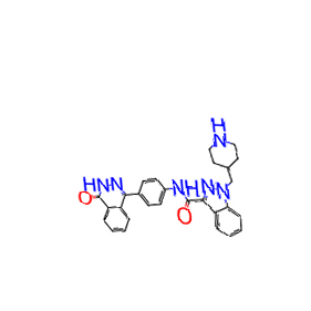 O=C(Nc1ccc(-c2n[nH]c(=O)c3ccccc23)cc1)c1nn(CC2CCNCC2)c2ccccc12